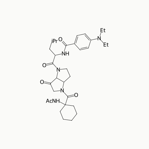 CCN(CC)c1ccc(C(=O)NC(CC(C)C)C(=O)N2CCC3C2C(=O)CN3C(=O)C2(NC(C)=O)CCCCC2)cc1